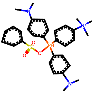 CN(C)c1ccc([PH](OS(=O)(=O)c2ccccc2)(c2ccc(N(C)C)cc2)c2ccc([N+](C)(C)C)cc2)cc1